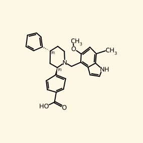 COc1cc(C)c2[nH]ccc2c1CN1CC[C@@H](c2ccccc2)C[C@@H]1c1ccc(C(=O)O)cc1